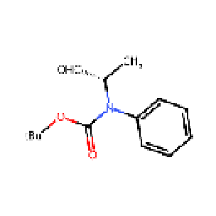 C[C@@H](C=O)N(C(=O)OC(C)(C)C)c1ccccc1